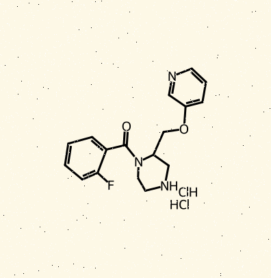 Cl.Cl.O=C(c1ccccc1F)N1CCNCC1COc1cccnc1